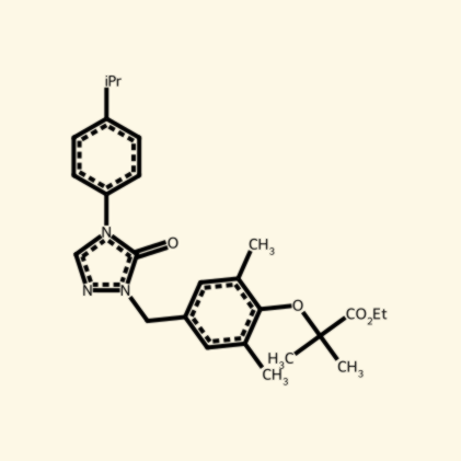 CCOC(=O)C(C)(C)Oc1c(C)cc(Cn2ncn(-c3ccc(C(C)C)cc3)c2=O)cc1C